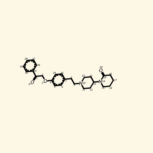 O=C(COc1ccc(CCN2CCC(N3CCCCC3=O)CC2)cc1)c1ccccc1